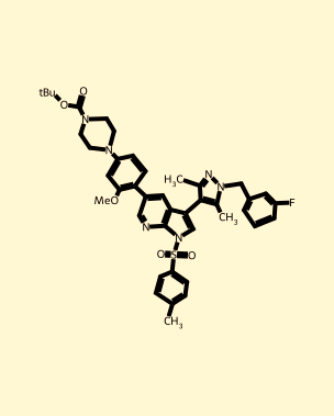 COc1cc(N2CCN(C(=O)OC(C)(C)C)CC2)ccc1-c1cnc2c(c1)c(-c1c(C)nn(Cc3cccc(F)c3)c1C)cn2S(=O)(=O)c1ccc(C)cc1